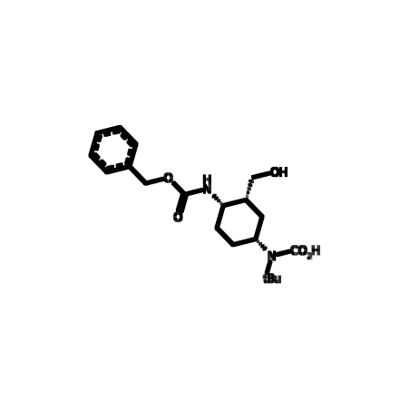 CC(C)(C)N(C(=O)O)[C@@H]1CC[C@H](NC(=O)OCc2ccccc2)[C@H](CO)C1